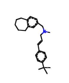 CN(C/C=C/c1ccc(C(C)(C)C)cc1)Cc1ccc2c(c1)CCCCC2